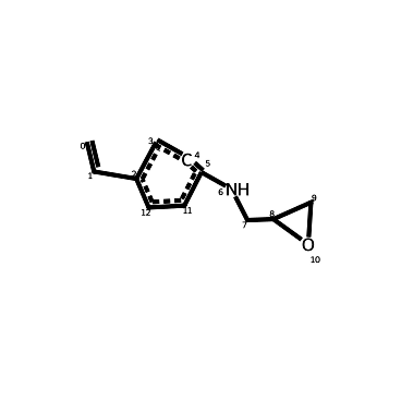 C=Cc1ccc(NCC2CO2)cc1